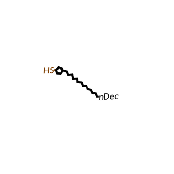 CCCCCCCCCCCCCCCCCCCCCCCCc1ccc(S)cc1